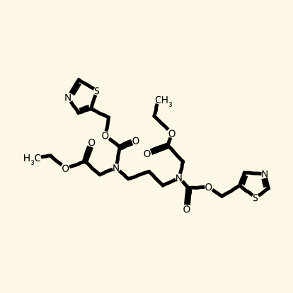 CCOC(=O)CN(CCCN(CC(=O)OCC)C(=O)OCc1cncs1)C(=O)OCc1cncs1